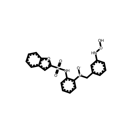 O=S(=O)(Nc1ccccc1[S+]([O-])Cc1cccc(NOO)c1)c1cc2ccccc2o1